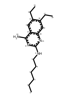 CCCCCCNc1nc(N)c2cc(CC)c(CC)cc2n1